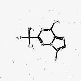 BC(B)(B)c1nc(N)c2ncc(Br)n2n1